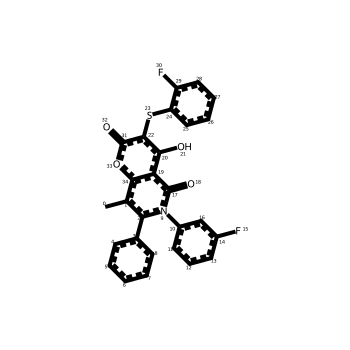 Cc1c(-c2ccccc2)n(-c2cccc(F)c2)c(=O)c2c(O)c(Sc3ccccc3F)c(=O)oc12